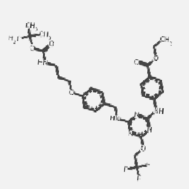 CCOC(=O)c1ccc(Nc2nc(NCc3ccc(OCCCNC(=O)OC(C)(C)C)cc3)nc(OCC(F)(F)F)n2)cc1